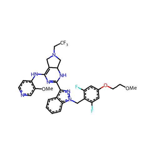 COCCOc1cc(F)c(Cn2nc(C3=NC(Nc4ccncc4OC)=C4CN(CC(F)(F)F)CC4N3)c3ccccc32)c(F)c1